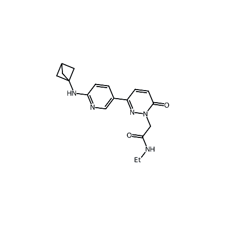 CCNC(=O)Cn1nc(-c2ccc(NC34CC(C3)C4)nc2)ccc1=O